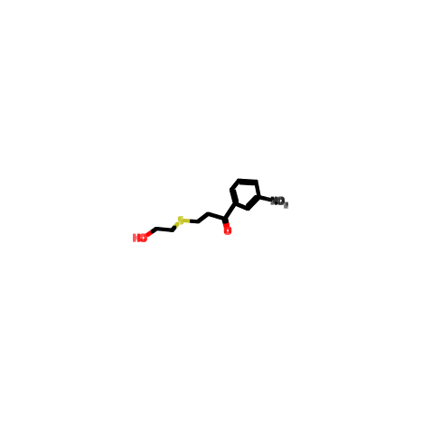 O=C(CCSCCO)c1cccc([N+](=O)[O-])c1